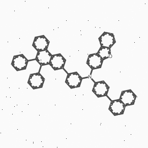 c1ccc(-c2c(-c3ccccc3)c3cc(-c4cccc(N(c5ccc(-c6cccc7ccccc67)cc5)c5ccc6c(c5)oc5ccccc56)c4)ccc3c3ccccc23)cc1